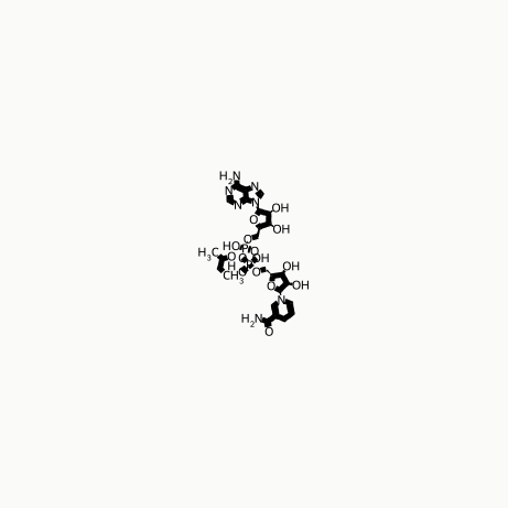 CCC(C)O.NC(=O)C1=CN([C@@H]2O[C@H](COP(=O)(O)OP(=O)(O)OC[C@H]3O[C@@H](n4cnc5c(N)ncnc54)[C@H](O)[C@@H]3O)[C@@H](O)[C@H]2O)C=CC1